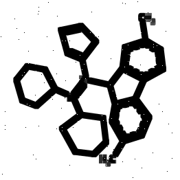 Cc1ccc2c(c1)[CH]([Zr]([C]1=CC=CC1)=[Si](C1CCCCC1)C1CCCCC1)c1cc(C)ccc1-2